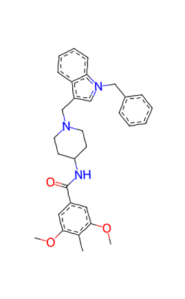 COc1cc(C(=O)NC2CCN(Cc3cn(Cc4ccccc4)c4ccccc34)CC2)cc(OC)c1C